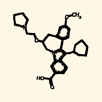 COc1ccc2c(c1)CC(OCCN1CCCC1)Cn1c-2c(C2CCCCC2)c2ccc(C(=O)O)cc21